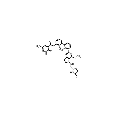 COc1nc(-c2cccc(-c3cccc(NC(=O)c4cc(C)n[nH]c4=O)c3Cl)c2Cl)cc2c1[C@@H](NC[C@@H]1CCC(=O)N1)CC2